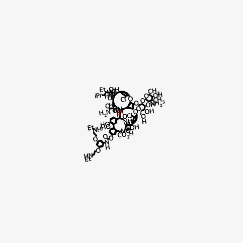 CCNCCOc1cc(NC(=O)Oc2cc(O)c3c(c2)[C@@H](C(=O)O)NC(=O)[C@H]2NC(=O)[C@H](CC(=O)[C@@H]4NC(=O)[C@H](CC(N)=O)CC(=O)[C@H](NC(=O)[C@H](CC)CC(C)C)[C@H](O)c5ccc(c(Cl)c5)Oc5cc4cc(c5O[C@@H]4O[C@H](CO)[C@@H](O)[C@H](O)[C@H]4O[C@H]4C[C@](C)(N)[C@H](O)[C@H](C)O4)Oc4ccc(cc4Cl)[C@H]2O)c2ccc(O)c-3c2)cc(OCCNCC)c1